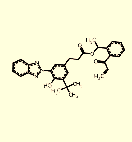 C=CC(=O)c1ccccc1C(C)OC(=O)CCc1cc(-n2nc3ccccc3n2)c(O)c(C(C)(C)C)c1